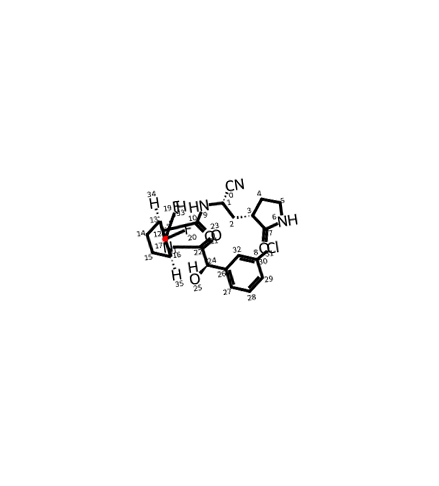 N#C[C@H](C[C@@H]1CCNC1=O)NC(=O)[C@@H]1[C@@H]2CC[C@@H](CC2(F)F)N1C(=O)[C@H](O)c1cccc(Cl)c1